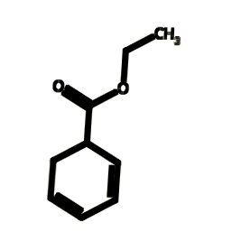 CCOC(=O)C1C=CC=CC1